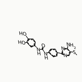 CSc1cnc(-c2ccc(NC(=O)Nc3ccc(O)c(O)c3)cc2)nc1N